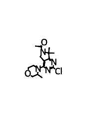 CC(=O)N1Cc2c(N3CCOCC3C)nc(Cl)nc2C1(C)C